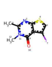 Cc1nc2scc(I)c2c(=O)n1C